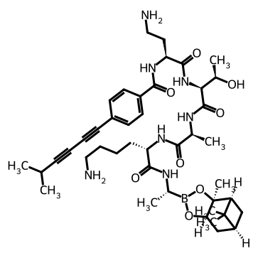 CC(C)C#CC#Cc1ccc(C(=O)N[C@@H](CCN)C(=O)N[C@H](C(=O)N[C@@H](C)C(=O)N[C@@H](CCCCN)C(=O)N[C@@H](C)B2O[C@@H]3C[C@@H]4C[C@@H](C4(C)C)[C@]3(C)O2)[C@@H](C)O)cc1